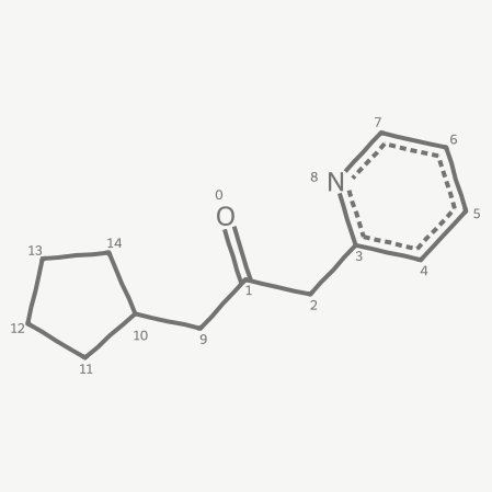 O=C(Cc1ccccn1)CC1CCCC1